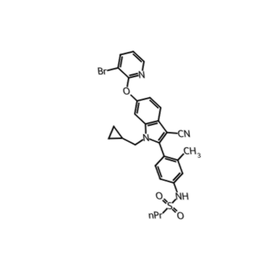 CCCS(=O)(=O)Nc1ccc(-c2c(C#N)c3ccc(Oc4ncccc4Br)cc3n2CC2CC2)c(C)c1